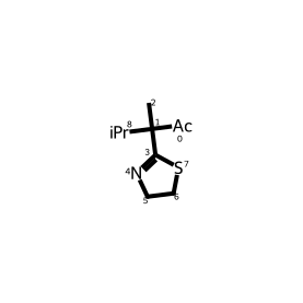 CC(=O)C(C)(C1=NCCS1)C(C)C